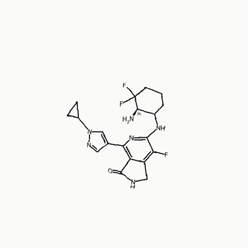 N[C@@H]1C(Nc2nc(-c3cnn(C4CC4)c3)c3c(c2F)CNC3=O)CCCC1(F)F